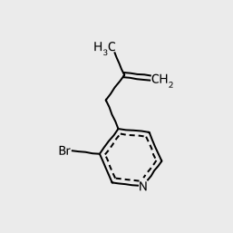 C=C(C)Cc1ccncc1Br